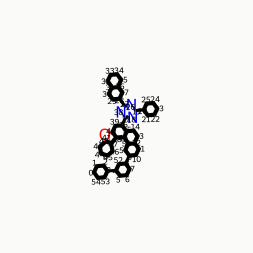 c1ccc(-c2cccc(-c3ccc4ccc5c(-c6nc(-c7ccccc7)nc(-c7ccc8ccccc8c7)n6)cc6oc7ccccc7c6c5c4c3)c2)cc1